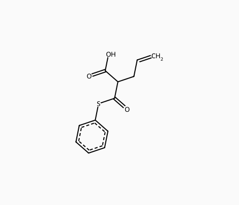 C=CCC(C(=O)O)C(=O)Sc1ccccc1